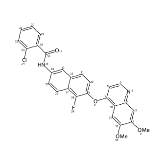 COc1cc2nccc(Oc3ccc4cc(NC(=O)c5ccccc5Cl)ccc4c3F)c2cc1OC